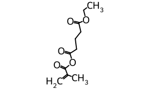 C=C(C)C(=O)OC(=O)CCCC(=O)OCC